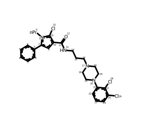 CCCn1c(-c2ccccc2)cc(C(=O)NCCCN2CCN(c3cccc(Cl)c3Cl)CC2)c1Cl